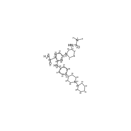 CN(C)C(=O)NC1CCCN(c2cnc(C(N)=O)c(Nc3ccc(C4CCN(C5CCCCC5)CC4)cc3)n2)C1